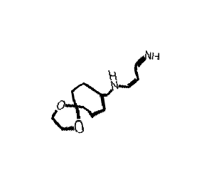 N=C/C=C\NC1CCC2(CC1)OCCO2